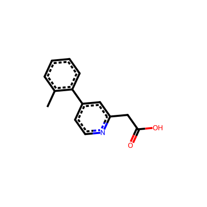 Cc1ccccc1-c1ccnc(CC(=O)O)c1